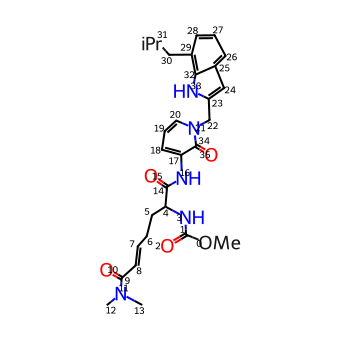 COC(=O)NC(CCC=CC(=O)N(C)C)C(=O)Nc1cccn(Cc2cc3cccc(CC(C)C)c3[nH]2)c1=O